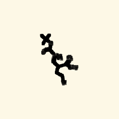 CC(C)(C)OC(=O)NCC(CCBr)C(=O)O